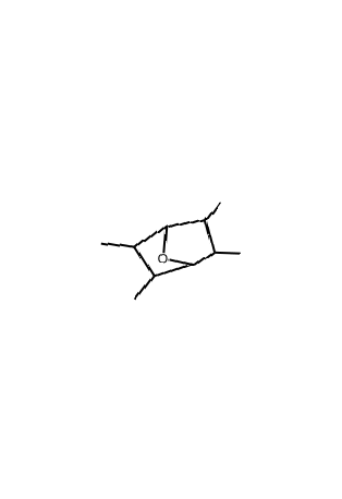 CC1C(C)C2OC1C(C)C2C